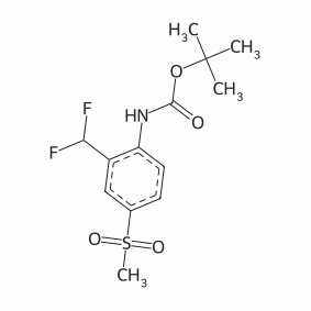 CC(C)(C)OC(=O)Nc1ccc(S(C)(=O)=O)cc1C(F)F